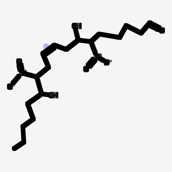 CCCCCC(O)C(C/C=C\CC(O)C(CCCCC=O)[N+](=O)[O-])[N+](=O)[O-]